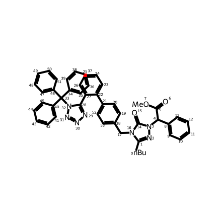 CCCCc1nn(C(C(=O)OC)c2ccccc2)c(=O)n1Cc1ccc(-c2ccccc2-c2nnnn2C(c2ccccc2)(c2ccccc2)c2ccccc2)cc1